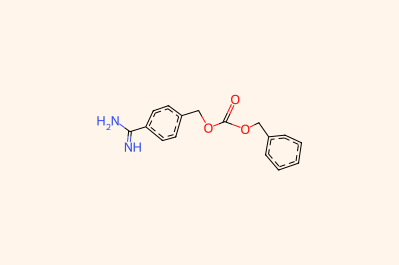 N=C(N)c1ccc(COC(=O)OCc2ccccc2)cc1